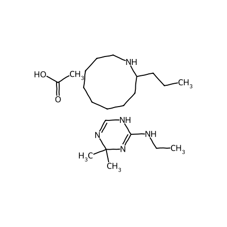 CC(=O)O.CCCC1CCCCCCCCN1.CCNC1=NC(C)(C)N=CN1